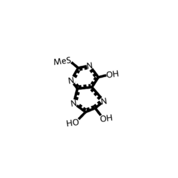 CSc1nc(O)c2nc(O)c(O)nc2n1